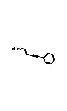 CCCCCCC=CC#Cc1ccccc1